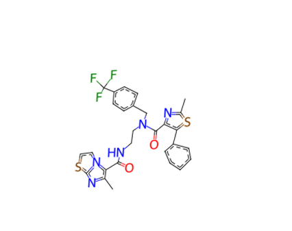 Cc1nc(C(=O)N(CCNC(=O)c2c(C)nc3sccn23)Cc2ccc(C(F)(F)F)cc2)c(-c2ccccc2)s1